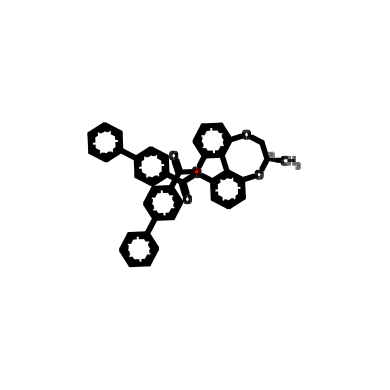 C[C@@H]1COc2cccc(OC(=O)c3ccc(-c4ccccc4)cc3)c2-c2c(OC(=O)c3ccc(-c4ccccc4)cc3)cccc2O1